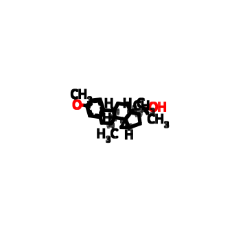 COc1ccc2c(c1)C[C@@H](C)[C@@H]1[C@@H]2CC[C@]2(C)[C@H](C(C)(C)O)C[C@H]3C[C@@]312